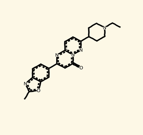 CCN1CCC(c2ccc3nc(-c4ccc5nc(C)oc5c4)cc(=O)n3n2)CC1